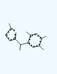 CCc1ccc(C(O)c2cc(Br)c(C)cc2C)s1